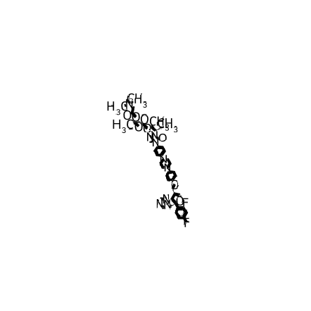 CC[C@@H]([C@H](C)OC(=O)OC(C)OC(=O)CN(C)C)n1ncn(-c2ccc(N3CCN(c4ccc(OC[C@@H]5CO[C@@](Cn6cncn6)(c6ccc(F)cc6F)C5)cc4)CC3)cc2)c1=O